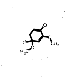 COC1=CC(Cl)(OC)CC=C1Cl